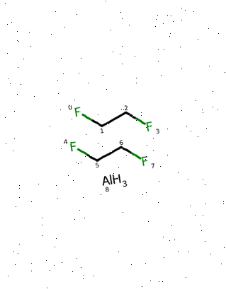 FCCF.FCCF.[AlH3]